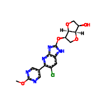 COc1ncc(-c2nc3nc(O[C@@H]4CO[C@H]5[C@@H]4OC[C@H]5O)[nH]c3cc2Cl)cn1